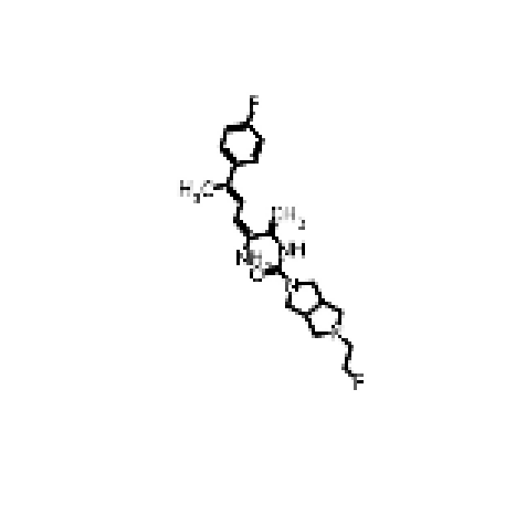 C=C(NC(=O)N1CC2CN(CCF)CC2C1)/C(N)=C\C=C(/C)c1ccc(F)cc1